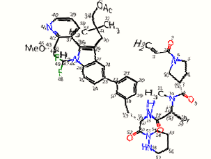 C=CC(=O)N1CC[C@H](C(=O)N(C)[C@H](C(=O)N[C@@H](Cc2cccc(-c3ccc4c(c3)c(CC(C)(C)COC(C)=O)c(-c3cccnc3[C@H](C)OC)n4C(F)F)c2)C(=O)N2CCCCN2)C(C)C)C1